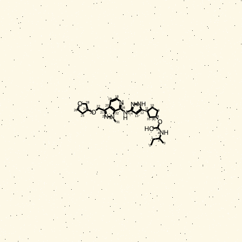 CCC(C)NC(O)O[C@@H]1CC[C@H](c2cc(Nc3nccc4c(COC5CCOC5)nn(C)c34)n[nH]2)C1